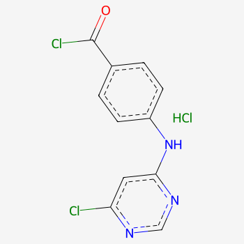 Cl.O=C(Cl)c1ccc(Nc2cc(Cl)ncn2)cc1